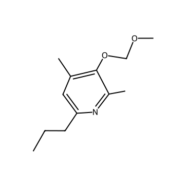 CCCc1cc(C)c(OCOC)c(C)n1